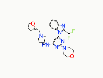 FC(F)c1nc2ccccc2n1-c1cc(N[C@H]2CCN(C[C@@H]3CCCO3)C2)nc(N2CCOCC2)n1